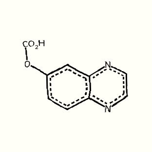 O=C(O)Oc1ccc2nccnc2c1